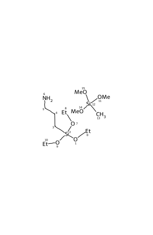 CCO[Si](CCCN)(OCC)OCC.CO[Si](C)(OC)OC